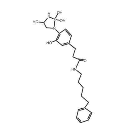 O=C(CCc1ccc(N2CC(O)NS2(O)O)c(O)c1)NCCCCCc1ccccc1